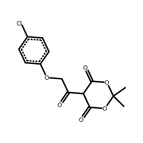 CC1(C)OC(=O)C(C(=O)COc2ccc(Cl)cc2)C(=O)O1